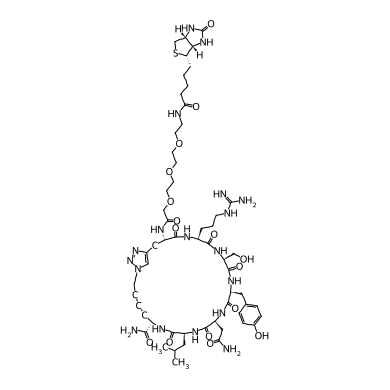 CC(C)C[C@@H]1NC(=O)[C@H](CC(N)=O)NC(=O)[C@H](Cc2ccc(O)cc2)NC(=O)[C@H](CO)NC(=O)[C@H](CCCNC(=N)N)NC(=O)[C@@H](NC(=O)COCCOCCOCCNC(=O)CCCC[C@@H]2SC[C@@H]3NC(=O)N[C@@H]32)Cc2cn(nn2)CCCC[C@@H](C(N)=O)NC1=O